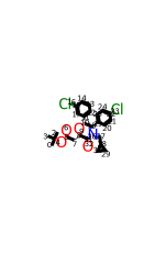 CC(C)(C)OC(=O)C[C@@H]1O[C@H](c2cccc(Cl)c2)[C@@H](c2ccc(Cl)cc2)N(CC2CC2)C1=O